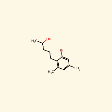 Cc1cc(C)c(CCCC(C)O)c(Br)c1